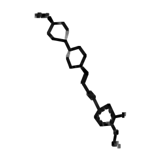 CCCCC[C@H]1CC[C@H]([C@H]2CC[C@H](C=CC#Cc3ccc(OC(F)(F)F)c(F)c3)CC2)CC1